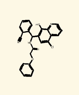 N#Cc1ccccc1C(NC(=O)COc1ccccc1)c1cc(Cl)c2cccnc2c1O